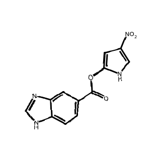 O=C(Oc1cc([N+](=O)[O-])c[nH]1)c1ccc2[nH]cnc2c1